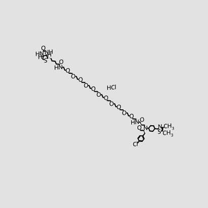 Cc1nc(C2CCC(N3C[C@H](C(=O)NCCOCCOCCOCCOCCOCCOCCOCCOCCOCCOCCOCCNC(=O)CCCC[C@@H]4SC[C@@H]5NC(=O)N[C@@H]54)OC[C@@H]3Cc3ccc(Cl)cc3)CC2)sc1C.Cl